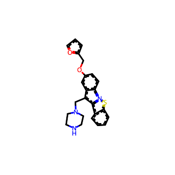 c1coc(COc2ccc3c(c2)c(CN2CCNCC2)c2c4ccccc4sn32)c1